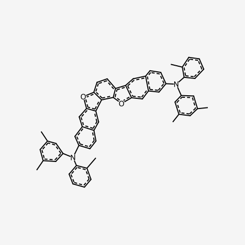 Cc1cc(C)cc(N(c2ccc3cc4c(cc3c2)oc2c4ccc3oc4cc5cc(N(c6cc(C)cc(C)c6)c6ccccc6C)ccc5cc4c32)c2ccccc2C)c1